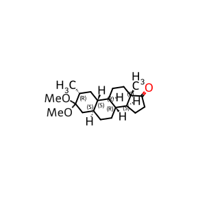 COC1(OC)C[C@@H]2CC[C@@H]3[C@H](CC[C@]4(C)C(=O)CC[C@@H]34)[C@H]2C[C@H]1C